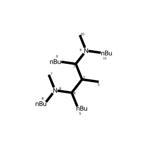 CCCCC(C(C)C(CCCC)N(C)CCCC)N(C)CCCC